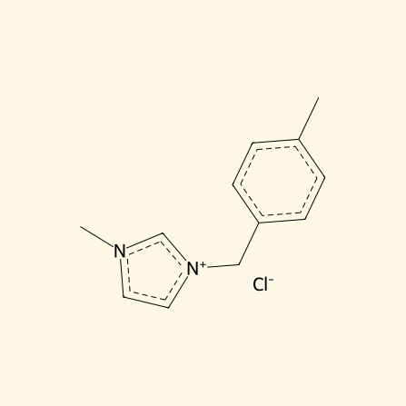 Cc1ccc(C[n+]2ccn(C)c2)cc1.[Cl-]